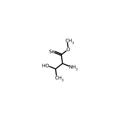 COC(=[Se])C(N)C(C)O